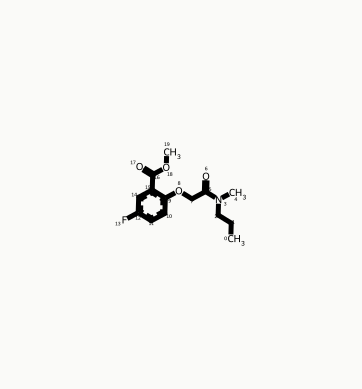 CCCN(C)C(=O)COc1ccc(F)cc1C(=O)OC